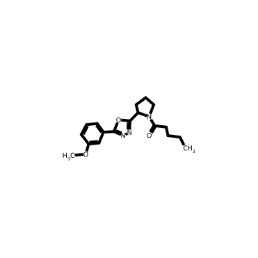 CCCCC(=O)N1CCCC1c1nnc(-c2cccc(OC)c2)o1